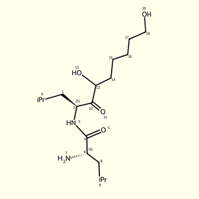 CC(C)C[C@H](NC(=O)[C@@H](N)CC(C)C)C(=O)C(O)CCCCCO